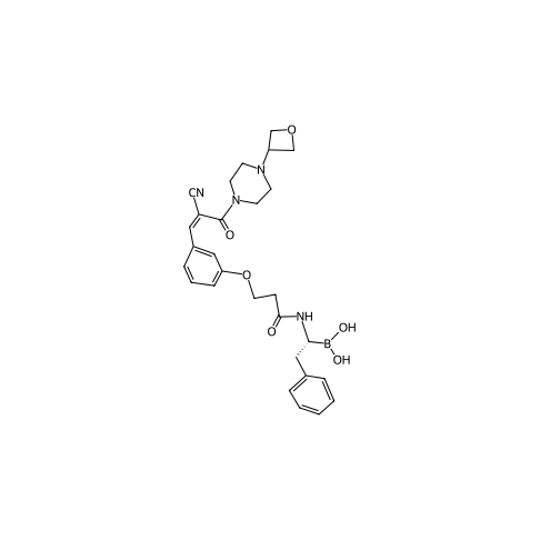 N#CC(=Cc1cccc(OCCC(=O)N[C@@H](Cc2ccccc2)B(O)O)c1)C(=O)N1CCN(C2COC2)CC1